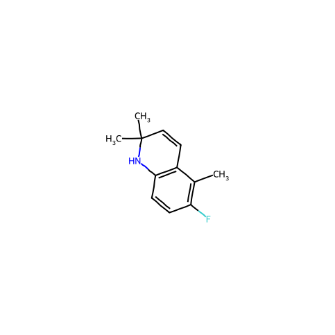 Cc1c(F)ccc2c1C=CC(C)(C)N2